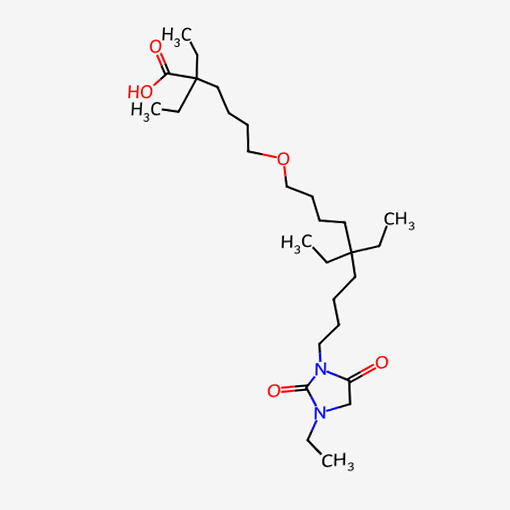 CCN1CC(=O)N(CCCCC(CC)(CC)CCCCOCCCCC(CC)(CC)C(=O)O)C1=O